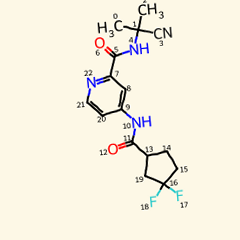 CC(C)(C#N)NC(=O)c1cc(NC(=O)C2CCC(F)(F)C2)ccn1